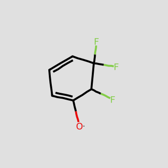 [O]C1=CC=CC(F)(F)C1F